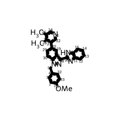 COc1ccc(Cn2nc(-c3nc4ccccc4[nH]3)c3cc(-c4cncc(C)c4C)ccc32)cc1